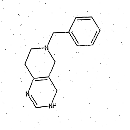 C1=NC2=C(CN1)CN(Cc1ccccc1)CC2